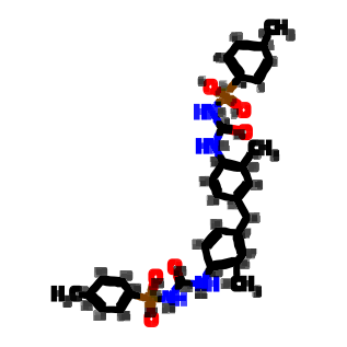 Cc1ccc(S(=O)(=O)NC(=O)Nc2ccc(Cc3ccc(NC(=O)NS(=O)(=O)c4ccc(C)cc4)c(C)c3)cc2C)cc1